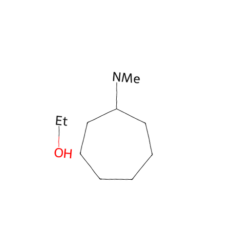 CCO.CNC1CCCCCC1